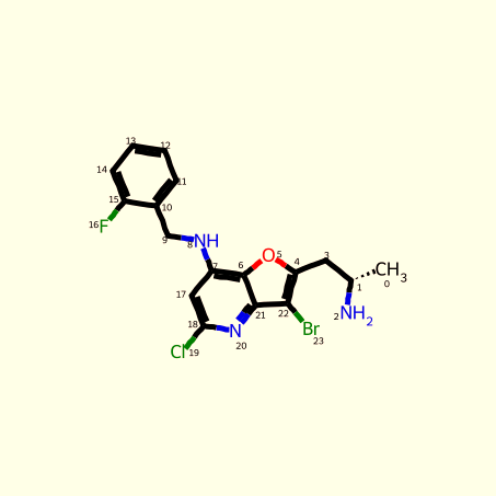 C[C@H](N)Cc1oc2c(NCc3ccccc3F)cc(Cl)nc2c1Br